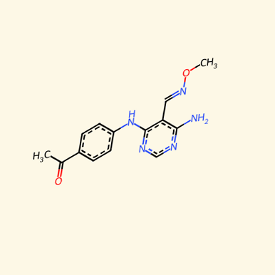 CON=Cc1c(N)ncnc1Nc1ccc(C(C)=O)cc1